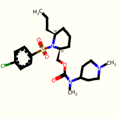 CCC[C@H]1CCC[C@@H](COC(=O)N(C)C2CCN(C)CC2)N1S(=O)(=O)c1ccc(Cl)cc1